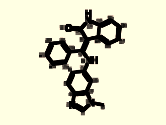 Cn1cnc2ccc(NC(=C3C(=O)Nc4ccccc43)c3ccccc3)cc21